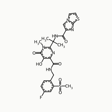 Cn1c(C(C)(C)NC(=O)c2cn3ccsc3n2)nc(C(=O)NCc2ccc(F)cc2S(C)(=O)=O)c(O)c1=O